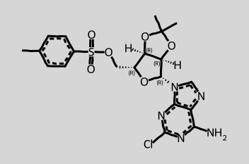 Cc1ccc(S(=O)(=O)OC[C@H]2O[C@@H](n3cnc4c(N)nc(Cl)nc43)[C@@H]3OC(C)(C)O[C@@H]32)cc1